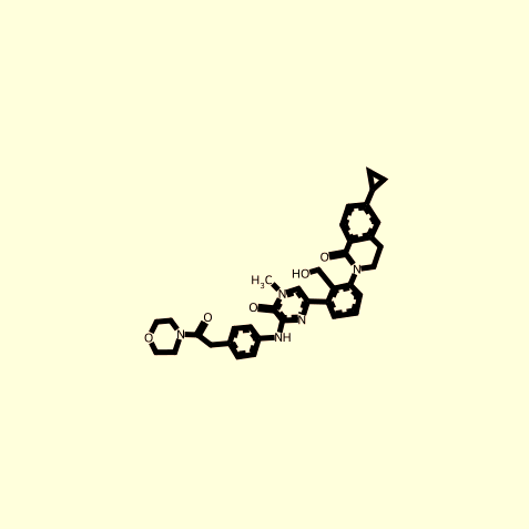 Cn1cc(-c2cccc(N3CCc4cc(C5CC5)ccc4C3=O)c2CO)nc(Nc2ccc(CC(=O)N3CCOCC3)cc2)c1=O